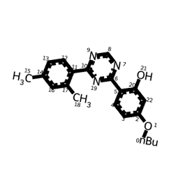 CCCCOc1ccc(-c2ncnc(-c3ccc(C)cc3C)n2)c(O)c1